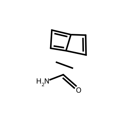 CC.NC=O.c1cc2ccc1-2